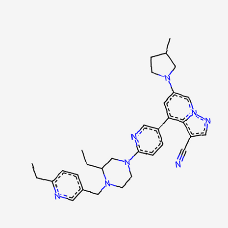 CCc1ccc(CN2CCN(c3ccc(-c4cc(N5CCC(C)C5)cn5ncc(C#N)c45)cn3)CC2CC)cn1